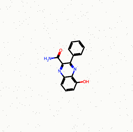 NC(=O)c1nc2cccc(O)c2nc1-c1ccccc1